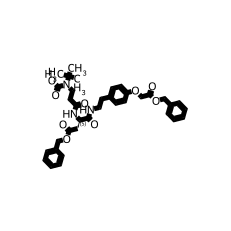 CC(C)(C)N(CCC(=O)N[C@@H](CC(=O)OCc1ccccc1)C(=O)NCCc1ccc(OCC(=O)OCc2ccccc2)cc1)C(=O)O